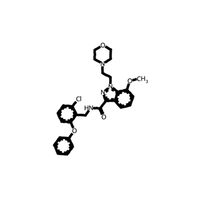 COc1cccc2c(C(=O)NCc3c(Cl)cccc3Oc3ccccc3)nn(CCN3CCOCC3)c12